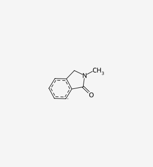 CN1Cc2ccc[c]c2C1=O